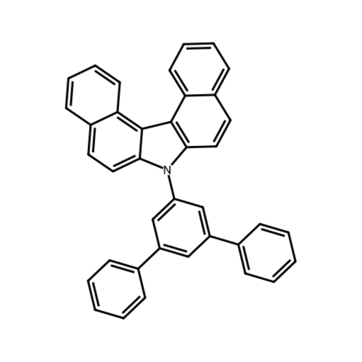 c1ccc(-c2cc(-c3ccccc3)cc(-n3c4ccc5ccccc5c4c4c5ccccc5ccc43)c2)cc1